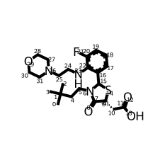 CC(C)(C)CCN1C(=O)[C@@H](CC(=O)O)SC1c1cccc(F)c1NCCN1CCOCC1